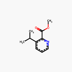 COC(=O)c1ncccc1C(C)C